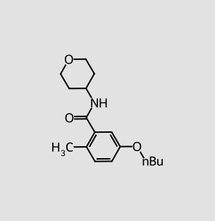 CCCCOc1ccc(C)c(C(=O)NC2CCOCC2)c1